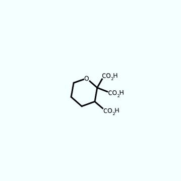 O=C(O)C1CCCOC1(C(=O)O)C(=O)O